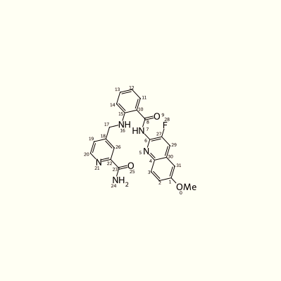 COc1ccc2nc(NC(=O)c3ccccc3NCc3ccnc(C(N)=O)c3)c(F)cc2c1